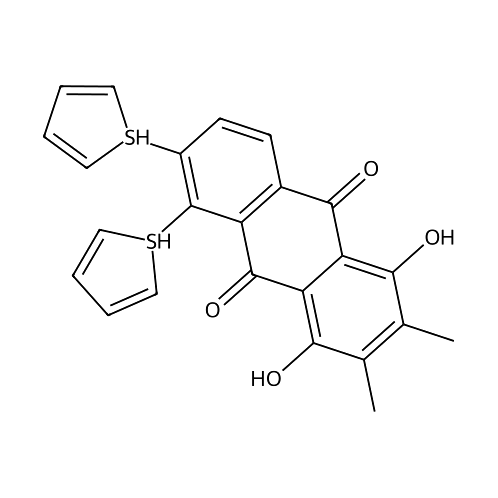 Cc1c(C)c(O)c2c(c1O)C(=O)c1ccc([SH]3C=CC=C3)c([SH]3C=CC=C3)c1C2=O